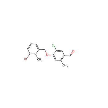 Cc1cc(OCc2cccc(Br)c2C)c(Cl)cc1C=O